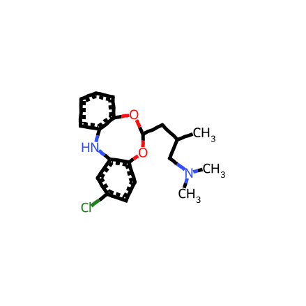 CC(CC1Oc2ccccc2Nc2cc(Cl)ccc2O1)CN(C)C